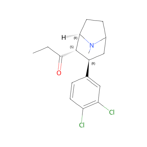 CCC(=O)[C@@H]1[C@H]2CCC(C[C@H]1c1ccc(Cl)c(Cl)c1)N2C